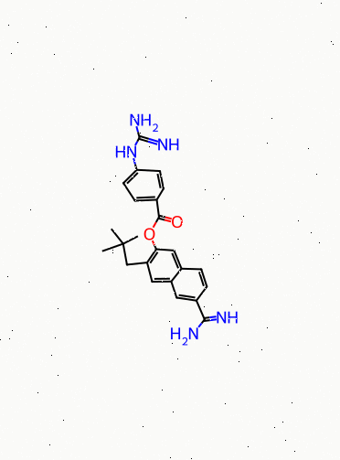 CC(C)(C)Cc1cc2cc(C(=N)N)ccc2cc1OC(=O)c1ccc(NC(=N)N)cc1